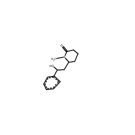 CN1C(=O)CCCC1CC(O)c1ccccc1